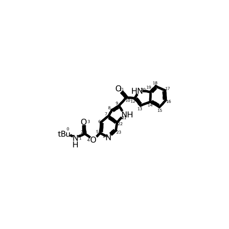 CC(C)(C)NC(=O)Oc1cc2cc(C(=O)c3cc4ccccc4[nH]3)[nH]c2cn1